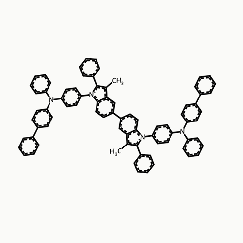 Cc1c(-c2ccccc2)n(-c2ccc(N(c3ccccc3)c3ccc(-c4ccccc4)cc3)cc2)c2ccc(-c3ccc4c(c3)c(C)c(-c3ccccc3)n4-c3ccc(N(c4ccccc4)c4ccc(-c5ccccc5)cc4)cc3)cc12